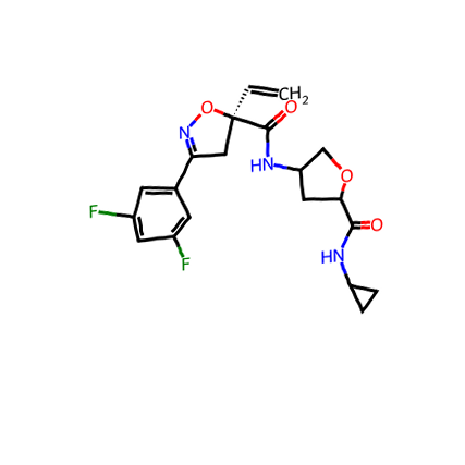 C=C[C@]1(C(=O)NC2COC(C(=O)NC3CC3)C2)CC(c2cc(F)cc(F)c2)=NO1